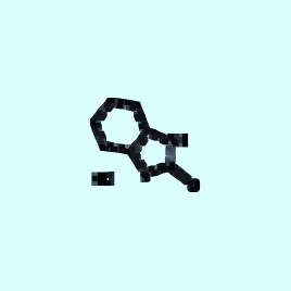 Cl.O=c1[nH]c2ccccc2s1